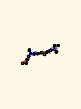 c1ccc(C2=NC(c3ccc4c(c3)sc3cc(-c5cccc6c5oc5ccccc56)ccc34)NC(c3ccc4c(c3)sc3cc(-c5ccc6oc7c(-c8ccc9c(c8)sc8cc(C%10N=C(c%11ccccc%11)NC(c%11cccc%12c%11sc%11ccccc%11%12)N%10)ccc89)cccc7c6c5)ccc34)N2)cc1